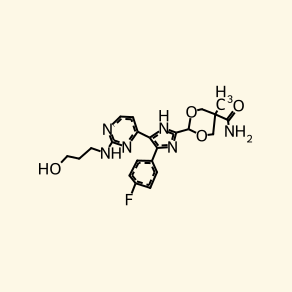 CC1(C(N)=O)COC(c2nc(-c3ccc(F)cc3)c(-c3ccnc(NCCCO)n3)[nH]2)OC1